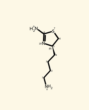 NCCCC[C@@H]1CSC(N)=N1